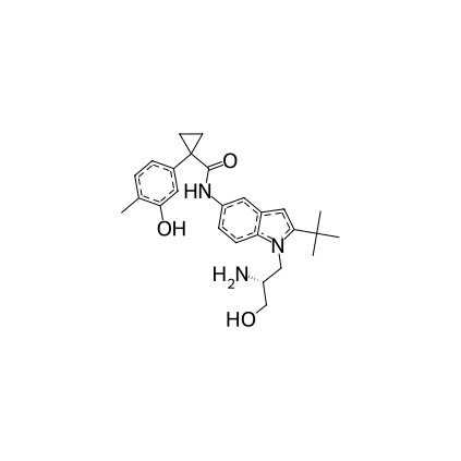 Cc1ccc(C2(C(=O)Nc3ccc4c(c3)cc(C(C)(C)C)n4C[C@@H](N)CO)CC2)cc1O